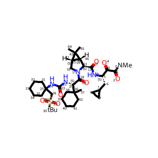 CNC(=O)C(=O)[C@H](CC1CC1)NC(=O)[C@@H]1[C@@H]2[C@H](CN1C(=O)[C@@H](NC(=O)NC1(CS(=O)(=O)C(C)(C)C)CCCCC1)C1(C)CCCCC1)C2(C)C